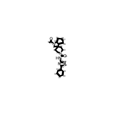 CC(=O)N1CC2(CCN(C(=O)Nc3nsc(-c4ccccc4)n3)CC2)c2ccccc21